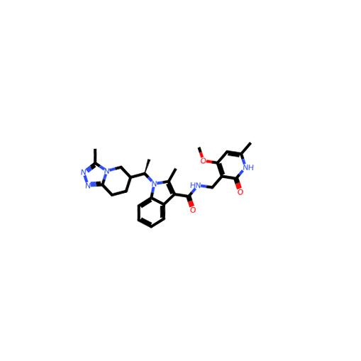 COc1cc(C)[nH]c(=O)c1CNC(=O)c1c(C)n([C@H](C)C2CCc3nnc(C)n3C2)c2ccccc12